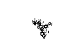 CC1(C)S[C@H]2C(NC(=O)C(NC(=O)c3cnc4cccnc4c3O)c3ccc(O)cc3)C(=O)N2C1c1nnn[nH]1.[KH]